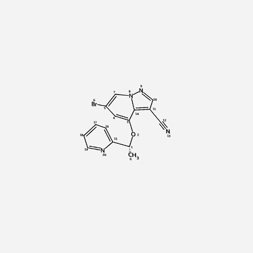 C[C@@H](Oc1cc(Br)cn2ncc(C#N)c12)c1ccccn1